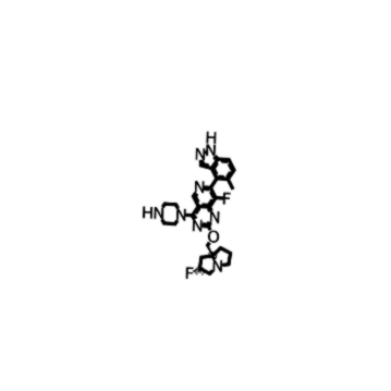 Cc1ccc2[nH]ncc2c1-c1ncc2c(N3CCNCC3)nc(OC[C@@]34CCCN3C[C@H](F)C4)nc2c1F